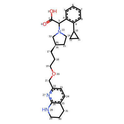 O=C(O)C(c1ccccc1C1CC1)N1CC[C@@H](CCCOCc2ccc3c(n2)NCCC3)C1